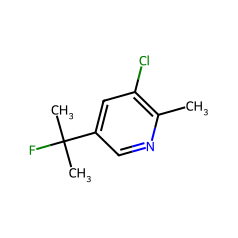 Cc1ncc(C(C)(C)F)cc1Cl